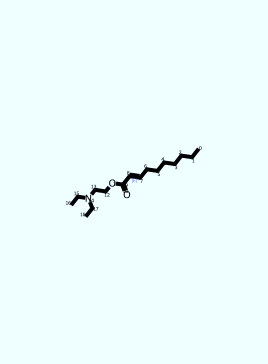 CCCCCCC/C=C/C(=O)OCCN(CC)CC